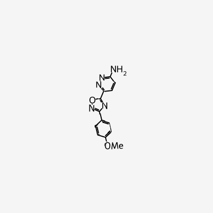 COc1ccc(-c2noc(-c3ccc(N)nn3)n2)cc1